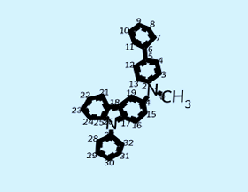 CN(c1ccc(-c2ccccc2)cc1)c1ccc2c(c1)c1ccccc1n2-c1ccccc1